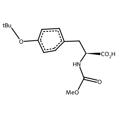 COC(=O)N[C@@H](Cc1ccc(OC(C)(C)C)cc1)C(=O)O